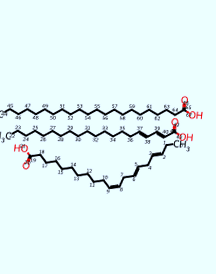 CCC=CCC=CC/C=C\CCCCCCCCCC(=O)O.CCCCCCCCCCCCCCCC=CC=CC(=O)O.CCCCCCCCCCCCCCCCCCCCCC(=O)O